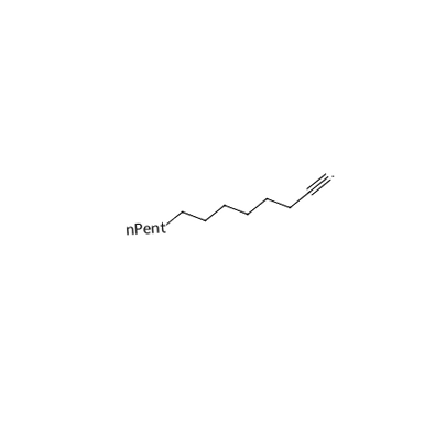 [C]#CCCCCCCCCCC[CH2]